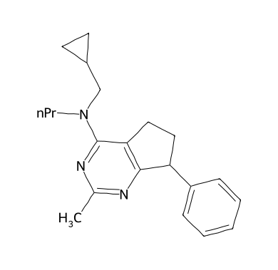 CCCN(CC1CC1)c1nc(C)nc2c1CCC2c1ccccc1